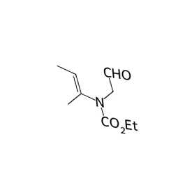 CC=C(C)N(CC=O)C(=O)OCC